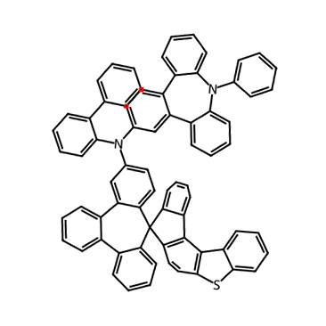 c1ccc(-c2ccccc2N(c2ccc3c(c2)-c2ccccc2N(c2ccccc2)c2ccccc2-3)c2ccc3c(c2)-c2ccccc2-c2ccccc2C32c3ccccc3-c3c2ccc2sc4ccccc4c32)cc1